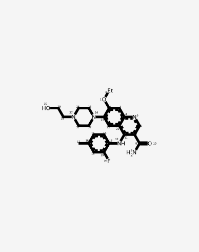 CCOc1cc2ncc(C(N)=O)c(Nc3ccc(C)cc3F)c2cc1N1CCN(CCO)CC1